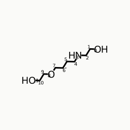 OCCNCC[CH]COCCO